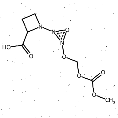 COC(=O)OCOn1on1N1CCC1C(=O)O